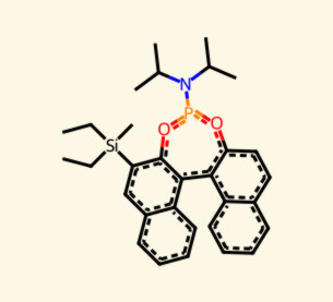 CC[Si](C)(CC)c1cc2ccccc2c2c1op(N(C(C)C)C(C)C)oc1ccc3ccccc3c12